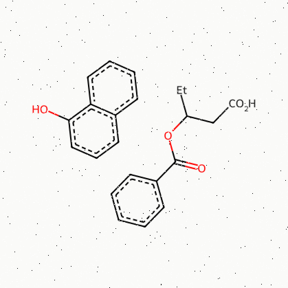 CCC(CC(=O)O)OC(=O)c1ccccc1.Oc1cccc2ccccc12